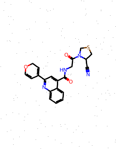 N#CC1CSCN1C(=O)CNC(=O)c1cc(C2=CCOC=C2)nc2ccccc12